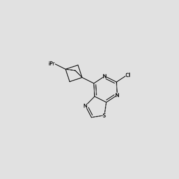 CC(C)C12CC(c3nc(Cl)nc4scnc34)(C1)C2